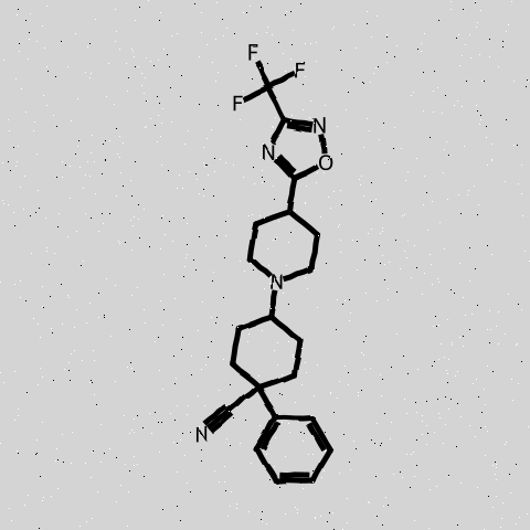 N#CC1(c2ccccc2)CCC(N2CCC(c3nc(C(F)(F)F)no3)CC2)CC1